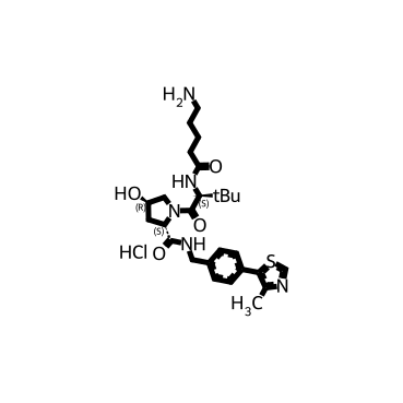 Cc1ncsc1-c1ccc(CNC(=O)[C@@H]2C[C@@H](O)CN2C(=O)[C@@H](NC(=O)CCCCN)C(C)(C)C)cc1.Cl